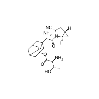 C[C@H](O)[C@H](N)C(=O)OC12CC3CC(C1)CC([C@H](N)C(=O)N1[C@H](C#N)C[C@@H]4C[C@@H]41)(C3)C2